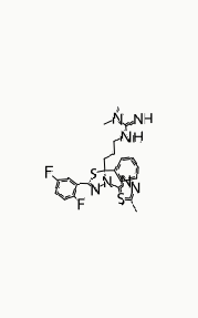 Cc1nnc(N2N=C(c3cc(F)ccc3F)SC2(CCCNC(=N)N(C)C)c2ccccc2)s1